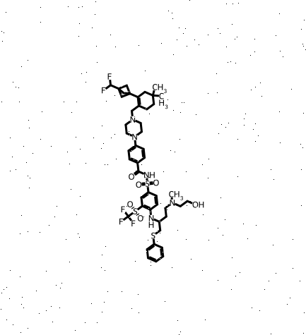 CN(CCO)CCC(CSc1ccccc1)Nc1ccc(S(=O)(=O)NC(=O)c2ccc(N3CCN(CC4=C(C56CC(C(F)F)(C5)C6)CC(C)(C)CC4)CC3)cc2)cc1S(=O)(=O)C(F)(F)F